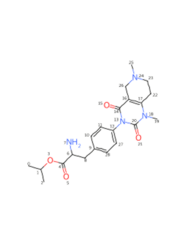 CC(C)OC(=O)C(N)Cc1ccc(-n2c(=O)c3c(n(C)c2=O)CCN(C)C3)cc1